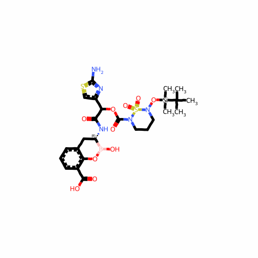 CC(C)(C)[Si](C)(C)ON1CCCN(C(=O)OC(C(=O)N[C@H]2Cc3cccc(C(=O)O)c3OB2O)c2csc(N)n2)S1(=O)=O